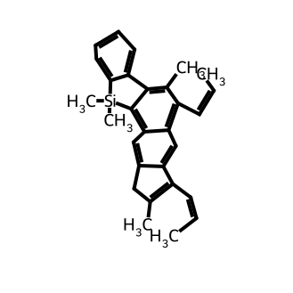 C/C=C\C1=C(C)Cc2cc3c4c(c(C)c(/C=C\C)c3cc21)-c1ccccc1[Si]4(C)C